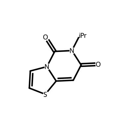 CC(C)n1c(=O)cc2sccn2c1=O